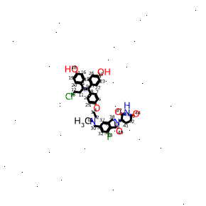 CN(CCOc1ccc(/C(=C(\CCCl)c2ccc(O)cc2)c2ccc(O)cc2)cc1)Cc1cc(F)c2c(c1)CN(C1CCC(=O)NC1=O)C2=O